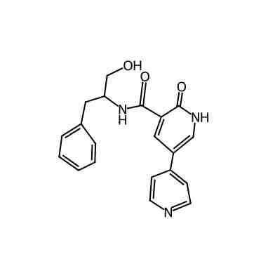 O=C(NC(CO)Cc1ccccc1)c1cc(-c2ccncc2)c[nH]c1=O